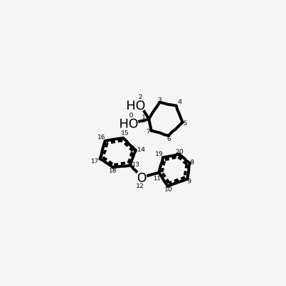 OC1(O)CCCCC1.c1ccc(Oc2ccccc2)cc1